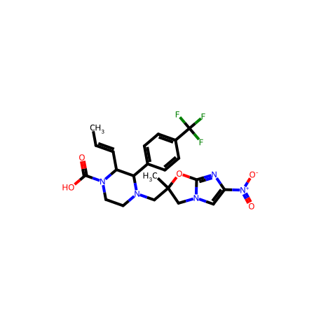 CC=CC1C(c2ccc(C(F)(F)F)cc2)N(CC2(C)Cn3cc([N+](=O)[O-])nc3O2)CCN1C(=O)O